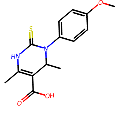 COc1ccc(N2C(=S)NC(C)=C(C(=O)O)C2C)cc1